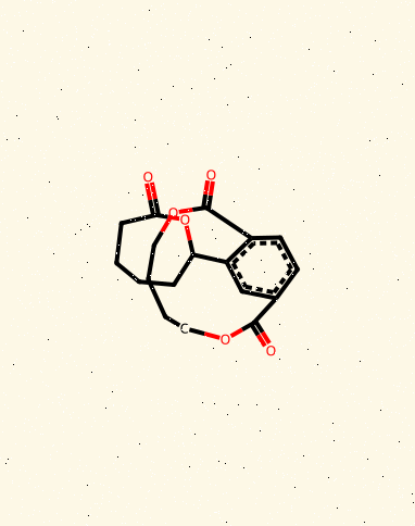 O=C1CCCCC(c2cc3ccc2C(=O)OCCCCOC3=O)O1